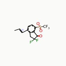 C/C=C/c1ccc(S(=O)(=O)C(F)(F)F)c2c1CC(F)(F)C2=O